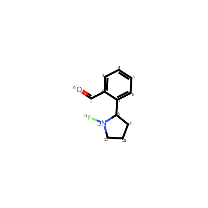 O=Cc1ccccc1C1CCCN1F